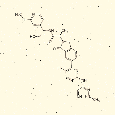 CN/N=C(\C=N)Nc1ncc(Cl)c(-c2ccc3c(c2)C(=O)N([C@H](C)C(=O)N[C@H](CO)c2ccnc(OC)c2)C3)n1